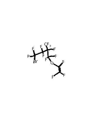 FC(F)=C(F)OC(F)(F)C(F)(C(F)(F)F)C(F)(F)C(F)(F)Br